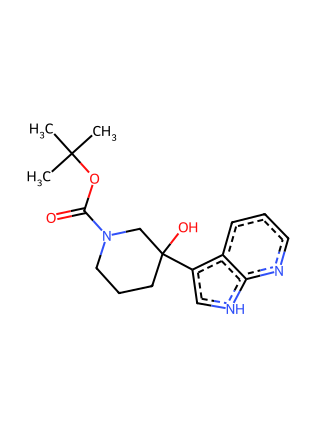 CC(C)(C)OC(=O)N1CCCC(O)(c2c[nH]c3ncccc23)C1